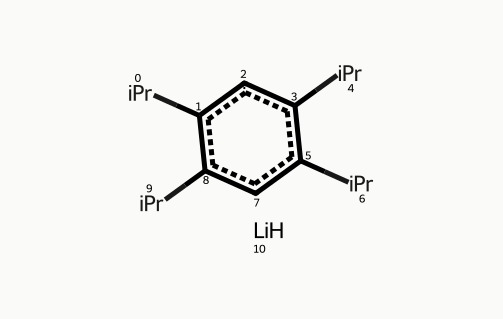 CC(C)c1[c]c(C(C)C)c(C(C)C)cc1C(C)C.[LiH]